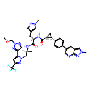 COCn1ncc(-c2cc(C(F)(F)F)nn2CC(C)(C)NC(=O)[C@@H](Cc2cnn(C)c2)NC(=O)[C@H]2C[C@@H]2c2ccc(-c3cnc4nn(C)cc4c3)cc2)n1